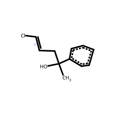 CC(O)(C/C=C/Cl)c1ccccc1